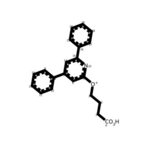 O=C(O)CCCOc1cc(-c2ccccc2)cc(-c2ccccc2)n1